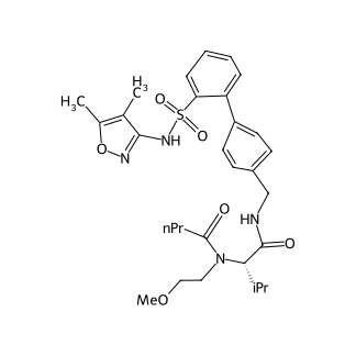 CCCC(=O)N(CCOC)[C@H](C(=O)NCc1ccc(-c2ccccc2S(=O)(=O)Nc2noc(C)c2C)cc1)C(C)C